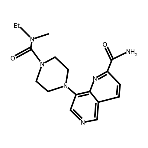 CCN(C)C(=O)N1CCN(c2cncc3ccc(C(N)=O)nc23)CC1